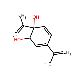 C=C(C)C1=CC(O)C(O)(C(=C)C)C=C1